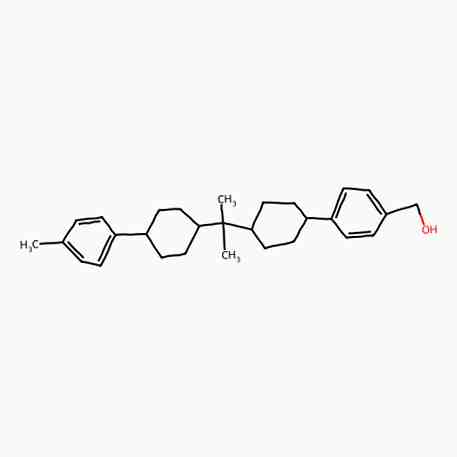 Cc1ccc(C2CCC(C(C)(C)C3CCC(c4ccc(CO)cc4)CC3)CC2)cc1